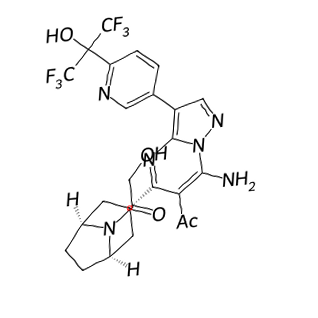 CC(=O)c1c([C@@H]2C[C@H]3CC[C@@H](C2)N3C(=O)CO)nc2c(-c3ccc(C(O)(C(F)(F)F)C(F)(F)F)nc3)cnn2c1N